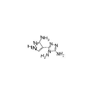 Nc1n[nH]cc1-c1nnc(N)n1N